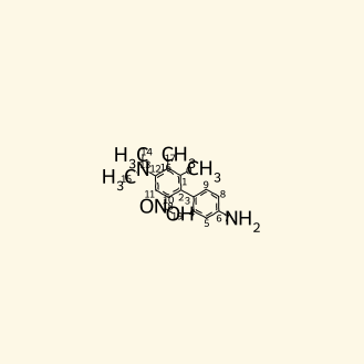 Cc1c(-c2ccc(N)cc2)ccc(N(C)C)c1C.O=NO